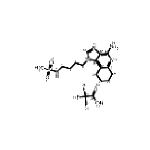 CS(=O)(=O)NCCCCn1cnc2c(N)nc3c(c21)CCCC3.O=C(O)C(F)(F)F